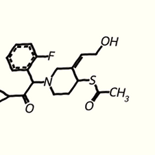 CC(=O)SC1CCN(C(C(=O)C2CC2)c2ccccc2F)CC1=CCO